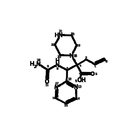 C=CCC(C(=O)O)(C(NC(N)=O)c1ncccn1)N1CCNCC1